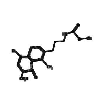 CCn1cc(C(=O)O)c(=O)c2c(C)c(CCCNC(=O)OC(C)(C)C)ccc21